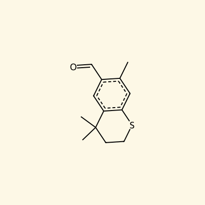 Cc1cc2c(cc1C=O)C(C)(C)CCS2